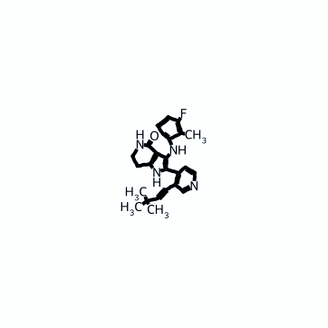 Cc1c(F)cccc1Nc1c(-c2ccncc2C#CC(C)(C)C)[nH]c2c1C(=O)NCC2